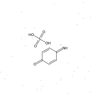 N=C1C=CC(=O)C=C1.O=S(=O)(O)O